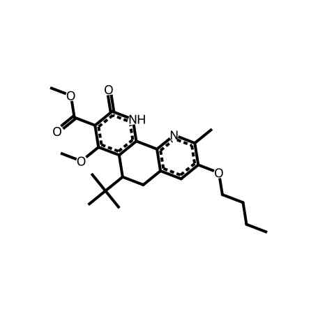 CCCCOc1cc2c(nc1C)-c1[nH]c(=O)c(C(=O)OC)c(OC)c1C(C(C)(C)C)C2